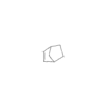 [C]1CC2[C]=CC1C2